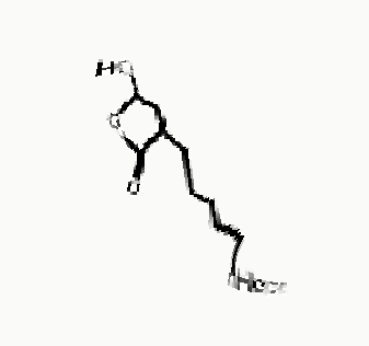 CCCCCCCCCCCCC1CC(O)OC1=O